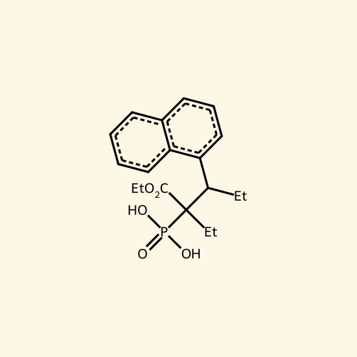 CCOC(=O)C(CC)(C(CC)c1cccc2ccccc12)P(=O)(O)O